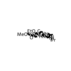 CCOC(=O)c1cnc(Nc2cc3c(cn2)cnn3C(C)C)nc1N1CCN(C(=O)NCCOC)CC1